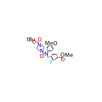 COC(=O)c1ccc(CN(C(=O)N2CCN(C(=O)OC(C)(C)C)CC2)c2cccc(OC)c2)c(F)c1